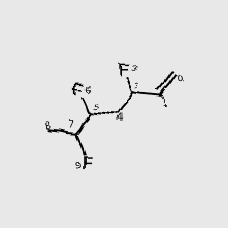 C=CC(F)CC(F)C(C)F